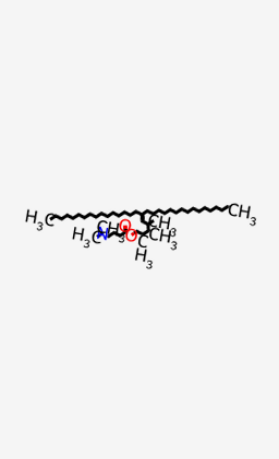 CCCCCCCCCCCCCCCCC(=CC(C)C(C)C(C)COC(=O)CCCN(C)C)CCCCCCCCCCCCCCCC